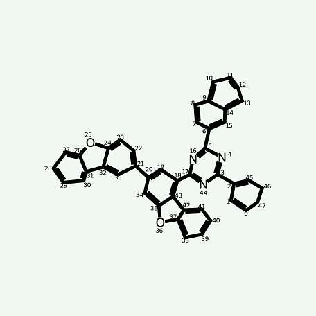 C1=CC(c2nc(-c3ccc4ccccc4c3)nc(-c3cc(-c4ccc5oc6ccccc6c5c4)cc4oc5ccccc5c34)n2)=CCC1